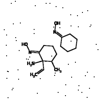 C=CC1([SiH3])C(=NO)CCCC1C.ON=C1CCCCC1